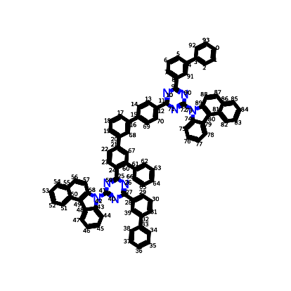 c1ccc(-c2cccc(-c3nc(-c4ccc(-c5cccc(-c6ccc(-c7nc(-c8cccc(-c9ccccc9)c8)nc(-n8c9ccccc9c9c%10ccccc%10ccc98)n7)c(-c7ccccc7)c6)c5)cc4)nc(-n4c5ccccc5c5c6ccccc6ccc54)n3)c2)cc1